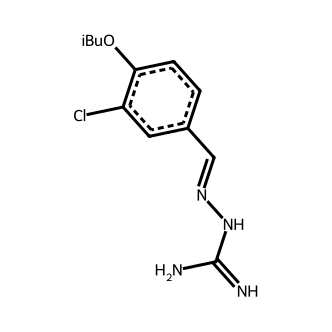 CC(C)COc1ccc(C=NNC(=N)N)cc1Cl